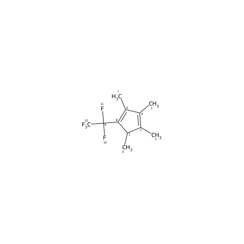 C[C]1C(C)=C(C)C(C)=C1C(F)(F)C(F)(F)F